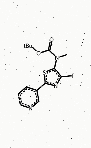 CN(C(=O)OC(C)(C)C)c1sc(-c2cccnc2)nc1I